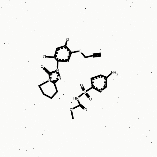 C#CCOc1cc(-n2nc3n(c2=O)CCCC3)c(Cl)cc1Cl.COC(=O)NS(=O)(=O)c1ccc(N)cc1